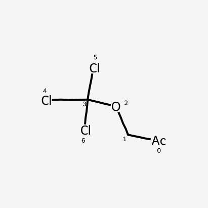 CC(=O)COC(Cl)(Cl)Cl